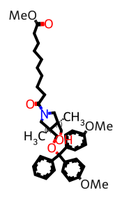 COC(=O)CCCCCCCCC(=O)N1C[C@](C)(COC(c2ccccc2)(c2ccc(OC)cc2)c2ccc(OC)cc2)[C@](C)(CO)C1